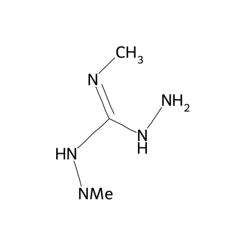 CN=C(NN)NNC